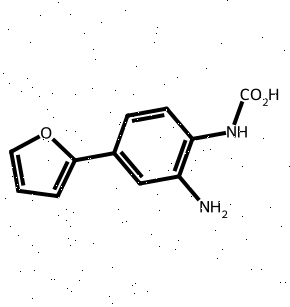 Nc1cc(-c2ccco2)ccc1NC(=O)O